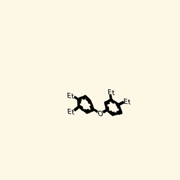 CCc1ccc(Oc2ccc(CC)c(CC)c2)cc1CC